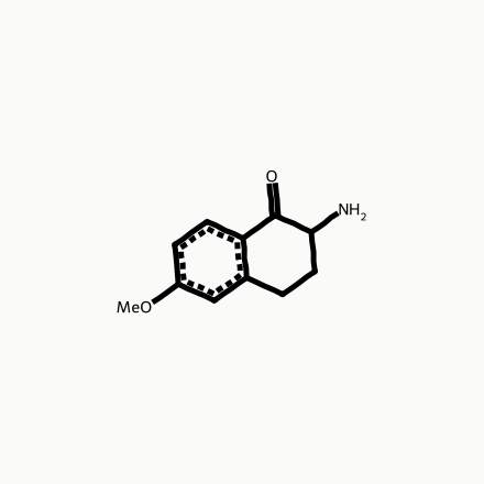 COc1ccc2c(c1)CCC(N)C2=O